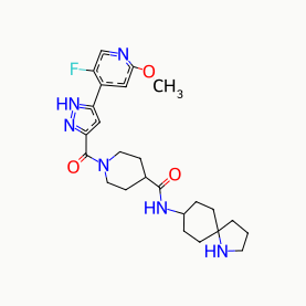 COc1cc(-c2cc(C(=O)N3CCC(C(=O)NC4CCC5(CCCN5)CC4)CC3)n[nH]2)c(F)cn1